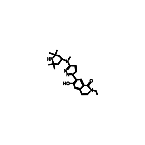 CCn1ccc2cc(O)c(-c3ccc(N(C)C4CC(C)(C)NC(C)(C)C4)nn3)cc2c1=O